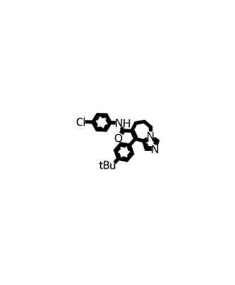 CC(C)(C)c1ccc(C2=C(C(=O)Nc3ccc(Cl)cc3)CCCn3cncc32)cc1